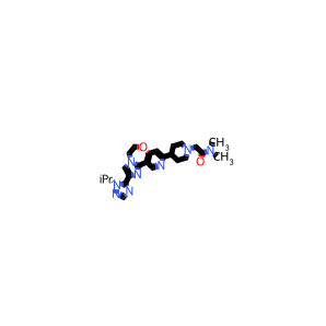 CC(C)n1ncnc1-c1cn2c(n1)-c1cnc(C3CCN(CC(=O)N(C)C)CC3)cc1OCC2